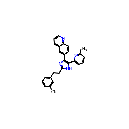 Cc1cccc(-c2[nH]c(CCc3cccc(C#N)c3)nc2-c2ccc3ncccc3c2)n1